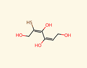 OC/C=C(O)\C(O)=C(\S)CO